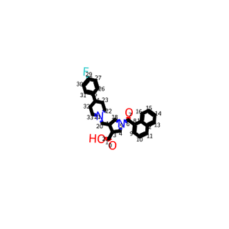 O=C(O)C1CN(C(=O)c2cccc3ccccc23)CC1CN1CCC(c2ccc(F)cc2)CC1